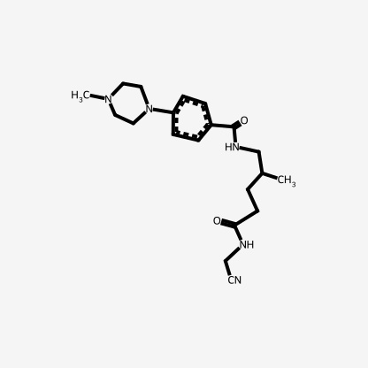 CC(CCC(=O)NCC#N)CNC(=O)c1ccc(N2CCN(C)CC2)cc1